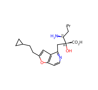 CC(C)C[C@H](N)[C@](O)(Cc1nccc2oc(CCC3CC3)cc12)C(=O)O